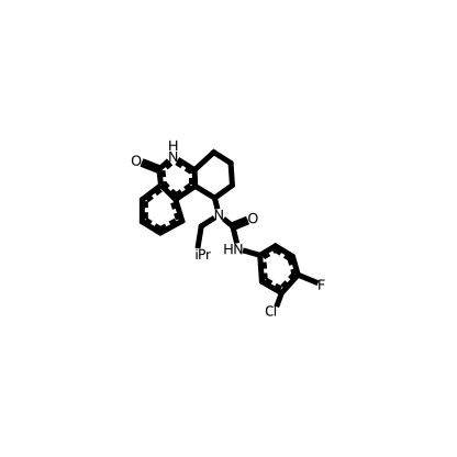 CC(C)CN(C(=O)Nc1ccc(F)c(Cl)c1)C1CCCc2[nH]c(=O)c3ccccc3c21